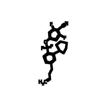 C=CCCc1ccc(C(F)(F)Oc2cc(F)c(C#N)c(F)c2)c(C2CCCCC2)c1